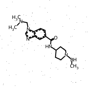 CBN1CCC(NC(=O)c2ccc3c(c2)ncn3CN(C)C)CC1